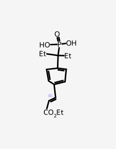 CCOC(=O)/C=C/c1ccc(C(CC)(CC)P(=O)(O)O)cc1